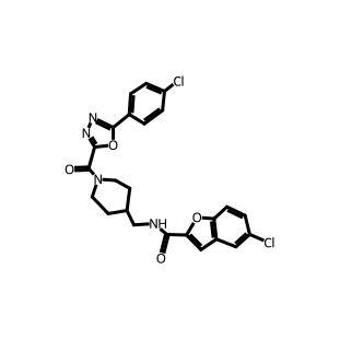 O=C(NCC1CCN(C(=O)c2nnc(-c3ccc(Cl)cc3)o2)CC1)c1cc2cc(Cl)ccc2o1